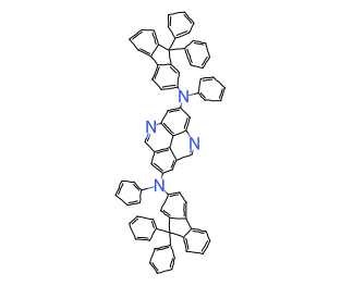 c1ccc(N(c2ccc3c(c2)C(c2ccccc2)(c2ccccc2)c2ccccc2-3)c2cc3cnc4cc(N(c5ccccc5)c5ccc6c(c5)C(c5ccccc5)(c5ccccc5)c5ccccc5-6)cc5ncc(c2)c3c45)cc1